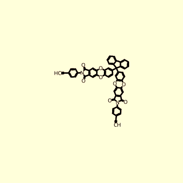 C#Cc1ccc(-n2c(=O)c3cc4oc5ccc(C6(c7ccc8oc9cc%10c(=O)n(-c%11ccc(C#C)cc%11)c(=O)c%10cc9oc8c7)c7ccccc7-c7ccccc76)cc5oc4cc3c2=O)cc1